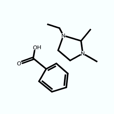 CCN1CCN(C)C1C.O=C(O)c1ccccc1